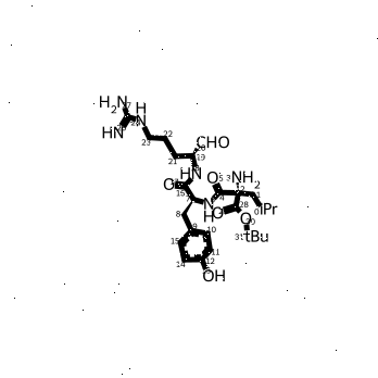 CC(C)C[C@](N)(C(=O)N[C@@H](Cc1ccc(O)cc1)C(=O)N[C@H](C=O)CCCNC(=N)N)C(=O)OC(C)(C)C